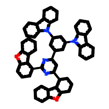 c1ccc2c(c1)oc1cccc(-c3cc(-c4cc(-n5c6ccccc6c6ccccc65)cc(-n5c6ccccc6c6ccccc65)c4)nc(-c4cccc5oc6ccccc6c45)n3)c12